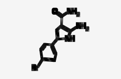 NC(=O)c1cc(-c2ccc(Br)cc2)[nH]c1N